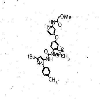 COCC(=O)Nc1cc(Oc2ccc(NC(=O)Nc3cc(C(C)(C)C)nn3-c3ccc(C)cc3)c(S(C)(=O)=O)c2)ccn1